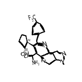 Cn1ncc2c3nc(-c4ccc(C(F)(F)F)cc4)c([C@@H]4CCC[C@H]4O)c(C(N)=O)c3ncc21